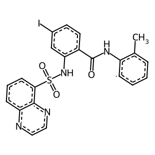 Cc1ccc[c]c1NC(=O)c1ccc(I)cc1NS(=O)(=O)c1cccc2nccnc12